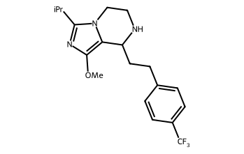 COc1nc(C(C)C)n2c1C(CCc1ccc(C(F)(F)F)cc1)NCC2